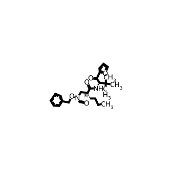 CCCC[C@H](CN(C=O)OCc1ccccc1)C(=O)N[C@H](C(=O)c1ccco1)C(C)(C)C